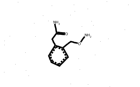 NOCc1ccccc1CC(N)=O